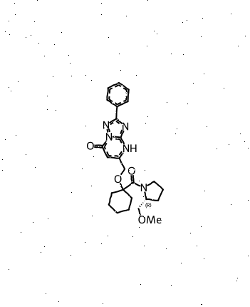 COC[C@H]1CCCN1C(=O)C1(OCc2cc(=O)n3nc(-c4ccccc4)nc3[nH]2)CCCCC1